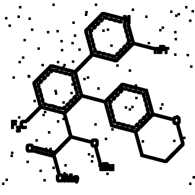 CCCc1cc(-c2ccc(C(F)(F)F)c(C(OC(C)(C)C)C(=O)OC)c2-c2ccc3c(c2)CCCO3)ccn1